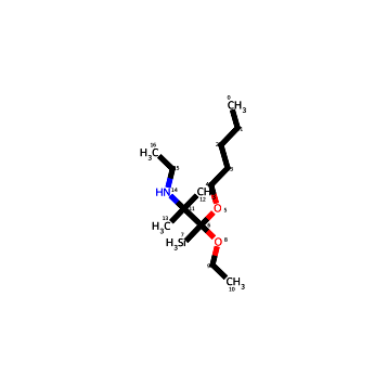 CCCCCOC([SiH3])(OCC)C(C)(C)NCC